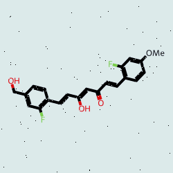 COc1ccc(/C=C/C(=O)/C=C(O)/C=C/c2ccc(CO)cc2F)c(F)c1